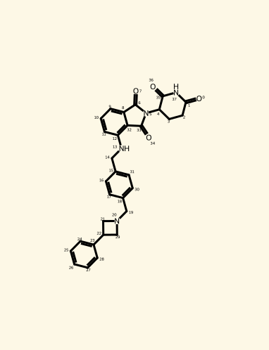 O=C1CCC(N2C(=O)c3cccc(NCc4ccc(CN5CC(c6ccccc6)C5)cc4)c3C2=O)C(=O)N1